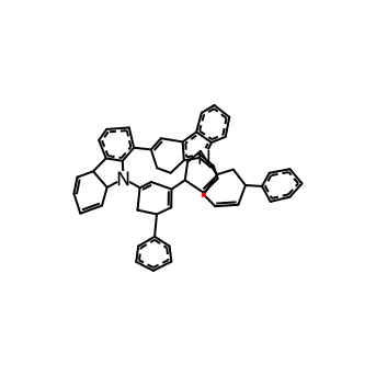 C1=CCC(C2=CC(c3ccccc3)CC(N3c4c(C5=Cc6c(n(C7CC=CC(c8ccccc8)C7)c7ccccc67)CC5)cccc4C4C=CC=CC43)=C2)C=C1